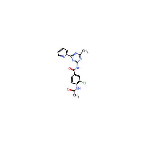 CC(=O)Nc1ccc(C(=O)Nc2nc(C)nc(-c3ccccn3)n2)cc1Cl